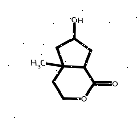 CC12CCOC(=O)C1CC(O)C2